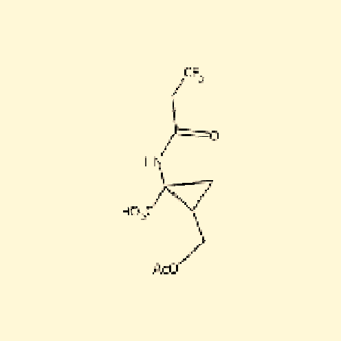 CC(=O)OCC1CC1(NC(=O)CC(F)(F)F)C(=O)O